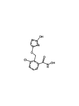 O=C(NO)c1cccc(Cl)c1COc1ccn(O)n1